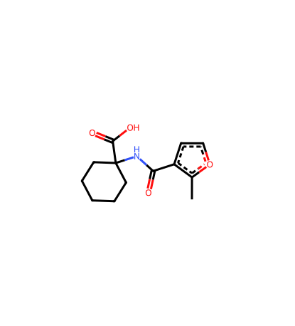 Cc1occc1C(=O)NC1(C(=O)O)CCCCC1